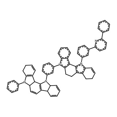 C1=CC2C3=C(C4C5=C(CCC=C5)N(c5ccccc5)C4C=C3)N(c3cccc(-n4c5c(c6ccccc64)-c4c(c6c(n4-c4cccc(-c7cccc(-c8ccccc8)n7)c4)C=CCC6)CC5)c3)C2C=C1